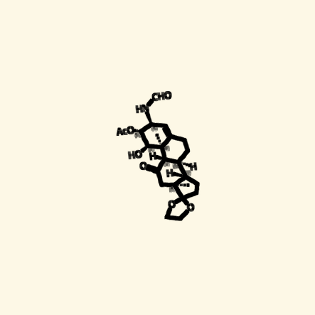 CC(=O)O[C@@H]1[C@@H](NC=O)C=C2CC[C@@H]3[C@H](C(=O)C[C@@]4(C)[C@H]3CCC43OCCO3)[C@@]2(C)[C@H]1O